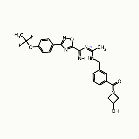 C/C(=N/C(=N)c1nc(-c2ccc(OC(C)(F)F)cc2)no1)NCc1cccc(C(=O)N2CC(O)C2)c1